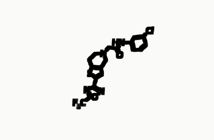 O=C(CN1CCc2sc(-c3noc(C(F)(F)F)n3)cc2C1)Nc1cccc(Cl)c1